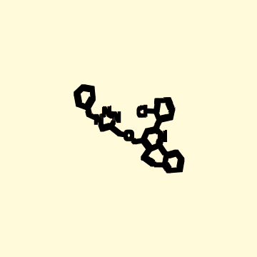 Clc1ccccc1-c1cc(COCc2cn(Cc3ccccc3)nn2)c2ccc3ccccc3c2n1